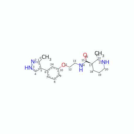 Cc1n[nH]cc1-c1c[c]cc(OCCNC(=O)[C@@H]2CCCN[C@H]2C)c1